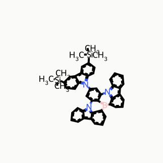 C[Si](C)(C)c1ccc2c(c1)c1cc([Si](C)(C)C)ccc1n2-c1cc2c3c(c1)-n1c4ccccc4c4cccc(c41)B3c1cccc3c4ccccc4n-2c13